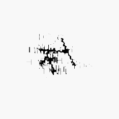 CCCCCCCCCCCOC(=O)CCCCCN(CCCCCCCC(=O)O)CC(O)CCCCNC(=O)C(CCCNC(=N)N)NC(=O)C(CCCNC(=N)N)NC(=O)C(N)CCCNC(=N)N